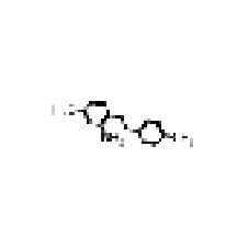 Cc1ccc(CCc2ccc(C)cc2N)cc1